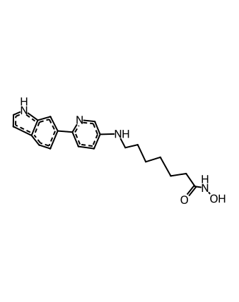 O=C(CCCCCCNc1ccc(-c2ccc3cc[nH]c3c2)nc1)NO